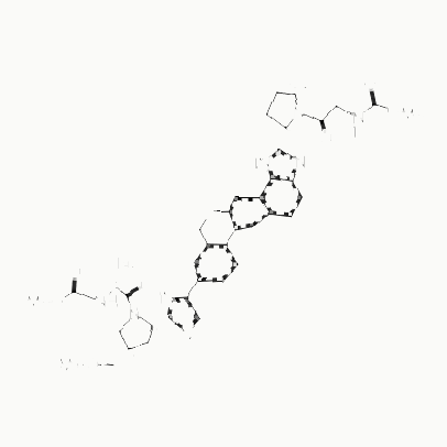 CC[C@H]1CC[C@@H](c2nc3ccc4cc5c(cc4c3[nH]2)OCc2cc(-c3cnc([C@@H]4C[C@H](COC)CN4C(=O)[C@@H](NC(=O)OC)[C@@H](C)CC)[nH]3)ccc2-5)N1C(=O)CNC(=O)OC